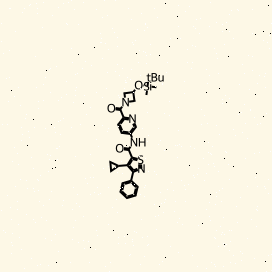 CC(C)(C)[Si](C)(C)OC1CN(C(=O)c2ccc(NC(=O)c3snc(-c4ccccc4)c3C3CC3)cn2)C1